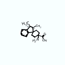 C[C@@H]1c2ccccc2C2(CCC(N)(C(=O)O)CC2)[C@@H]1C